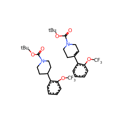 CC(C)(C)OC(=O)N1CC=C(c2ccccc2OC(F)(F)F)CC1.CC(C)(C)OC(=O)N1CCC(c2ccccc2OC(F)(F)F)CC1